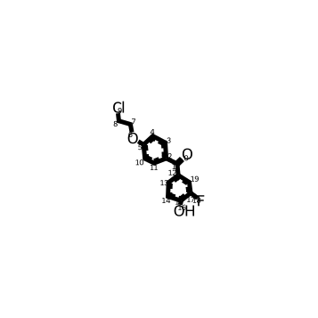 O=C(c1ccc(OCCCl)cc1)c1ccc(O)c(F)c1